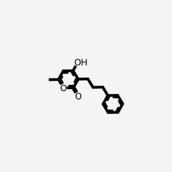 Cc1cc(O)c(CCCc2ccccc2)c(=O)o1